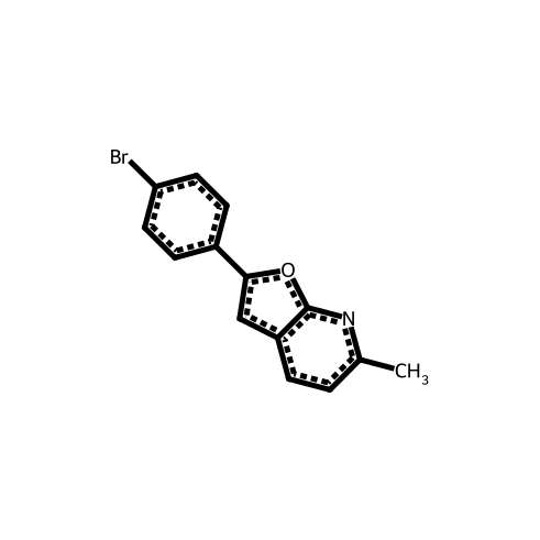 Cc1ccc2cc(-c3ccc(Br)cc3)oc2n1